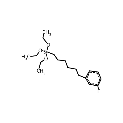 CCO[Si](CCCCCCc1cccc(F)c1)(OCC)OCC